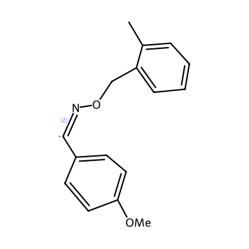 COc1ccc(/[C]=N\OCc2ccccc2C)cc1